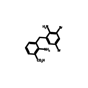 Nc1c(Br)cc(Br)cc1Cc1cccc(C(=O)O)c1N